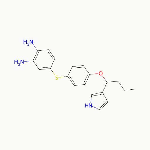 CCCC(Oc1ccc(Sc2ccc(N)c(N)c2)cc1)c1cc[nH]c1